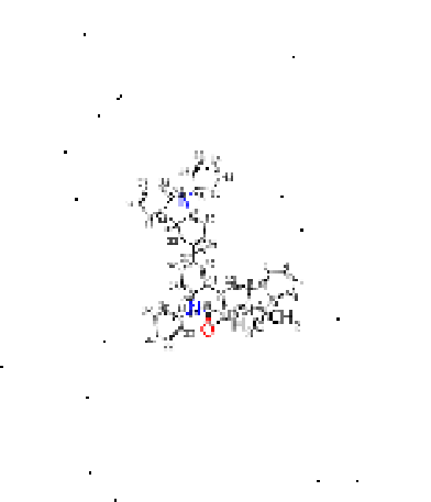 CC1(C)c2ccccc2-c2cc3c(cc21)c(=O)n(-c1ccccc1)c1ccc(-c2ccc4c(c2)c2ccccc2n4-c2ccccc2)cc31